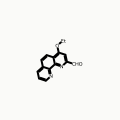 CCOc1cc(C=O)nc2c1ccc1cccnc12